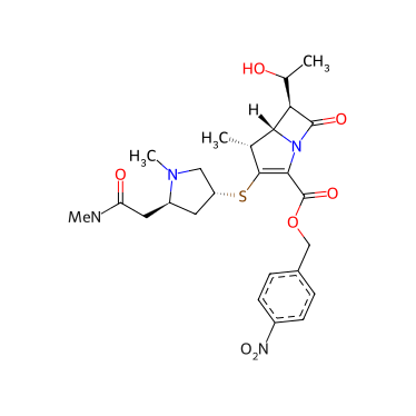 CNC(=O)C[C@@H]1C[C@@H](SC2=C(C(=O)OCc3ccc([N+](=O)[O-])cc3)N3C(=O)[C@H](C(C)O)[C@H]3[C@H]2C)CN1C